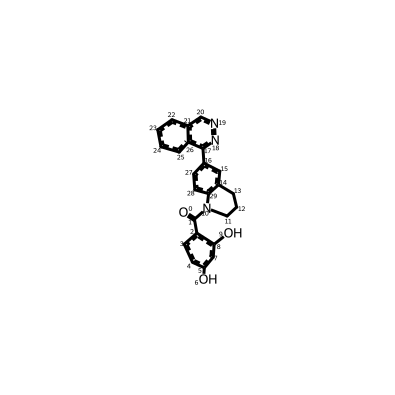 O=C(c1ccc(O)cc1O)N1CCCc2cc(-c3nncc4ccccc34)ccc21